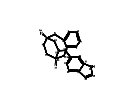 c1ccc2c(c1)C[C@H]1CC[C@@H](C2)N(Cc2ccc3cc[nH]c3c2)C1